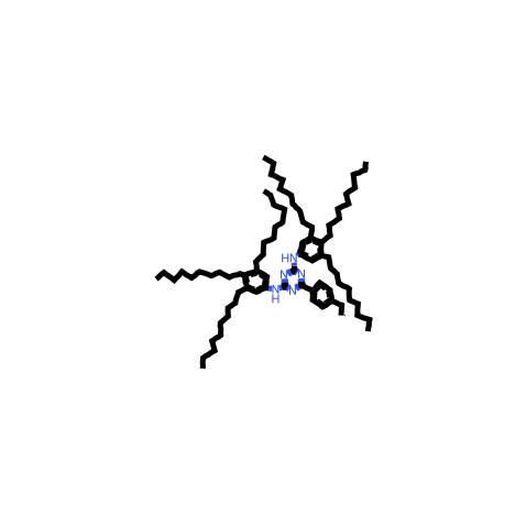 [CH2]Cc1ccc(-c2nc(Nc3cc(CCCCCCCCCC)c(CCCCCCCCCC)c(CCCCCCCCCC)c3)nc(Nc3cc(CCCCCCCCCC)c(CCCCCCCCCC)c(CCCCCCCCCC)c3)n2)cc1